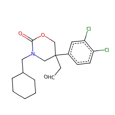 O=CCC1(c2ccc(Cl)c(Cl)c2)COC(=O)N(CC2CCCCC2)C1